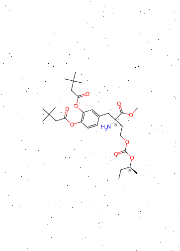 CC[C@H](C)OC(=O)OCC[C@@](N)(Cc1ccc(OC(=O)CC(C)(C)C)c(OC(=O)CC(C)(C)C)c1)C(=O)OC